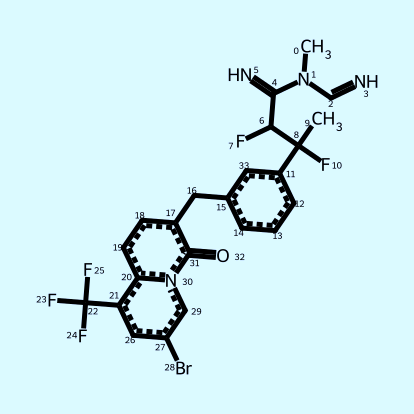 CN(C=N)C(=N)C(F)C(C)(F)c1cccc(Cc2ccc3c(C(F)(F)F)cc(Br)cn3c2=O)c1